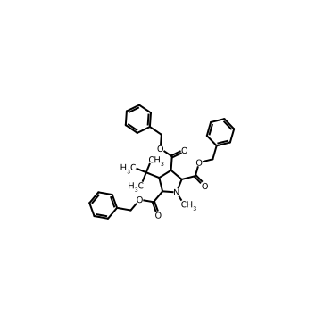 CN1C(C(=O)OCc2ccccc2)C(C(=O)OCc2ccccc2)C(C(C)(C)C)C1C(=O)OCc1ccccc1